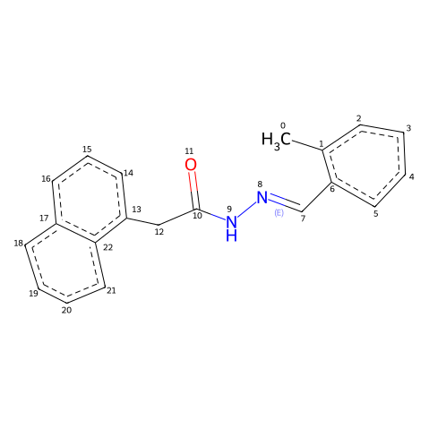 Cc1ccccc1/C=N/NC(=O)Cc1cccc2ccccc12